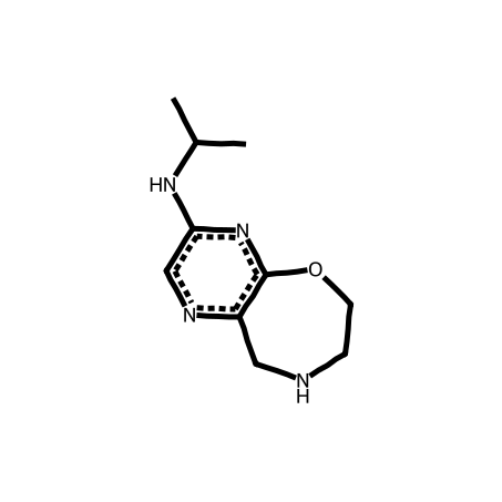 CC(C)Nc1cnc2c(n1)OCCNC2